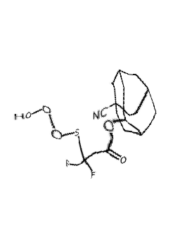 N#CC12CC3CC(C1)C(OC(=O)C(F)(F)SOOO)C(C3)C2